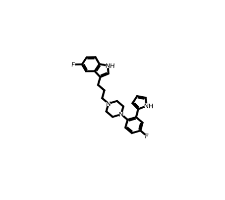 Fc1ccc(N2CCN(CCCc3c[nH]c4ccc(F)cc34)CC2)c(-c2ccc[nH]2)c1